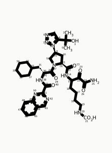 CC(C)(O)c1cnnn1[C@H]1C[C@@H](C(=O)NC(CCCCNC(=O)O)C(=O)C(N)=O)N(C(=O)[C@@H](CC2CCCCC2)NC(=O)c2ncc3ccccc3n2)C1